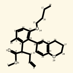 C=CCC(C(=O)OC)c1c(C)ccc(OCCCC)c1-c1ccc2c(c1)CCCO2